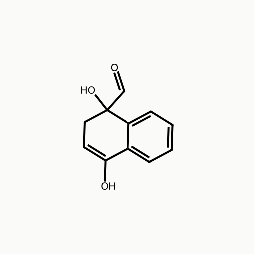 O=CC1(O)CC=C(O)c2ccccc21